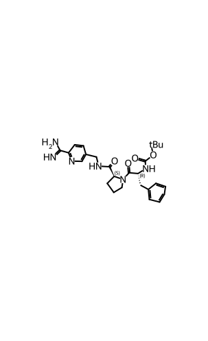 CC(C)(C)OC(=O)N[C@H](Cc1ccccc1)C(=O)N1CCC[C@H]1C(=O)NCc1ccc(C(=N)N)nc1